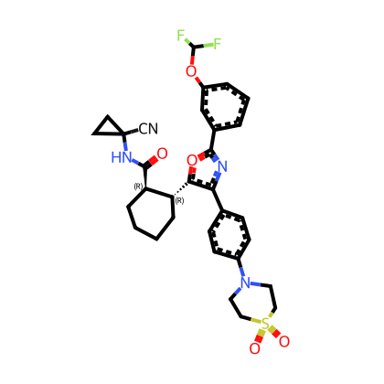 N#CC1(NC(=O)[C@@H]2CCCC[C@H]2c2oc(-c3cccc(OC(F)F)c3)nc2-c2ccc(N3CCS(=O)(=O)CC3)cc2)CC1